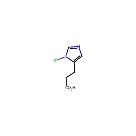 O=C(O)CCc1cncn1Br